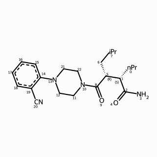 CCC[C@H](C(N)=O)[C@@H](CC(C)C)C(=O)N1CCN(c2ccccc2C#N)CC1